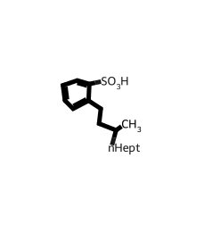 CCCCCCCC(C)CCc1ccccc1S(=O)(=O)O